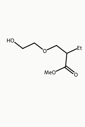 CCC(COCCO)C(=O)OC